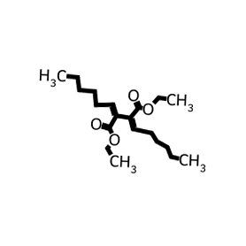 CCCCCC=C(C(=O)OCC)C(=CCCCCC)C(=O)OCC